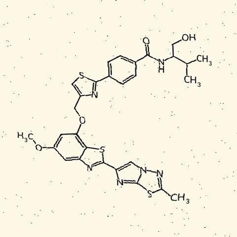 COc1cc(OCc2csc(-c3ccc(C(=O)NC(CO)C(C)C)cc3)n2)c2sc(-c3cn4nc(C)sc4n3)nc2c1